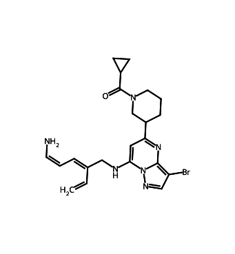 C=C/C(=C\C=C/N)CNc1cc(C2CCCN(C(=O)C3CC3)C2)nc2c(Br)cnn12